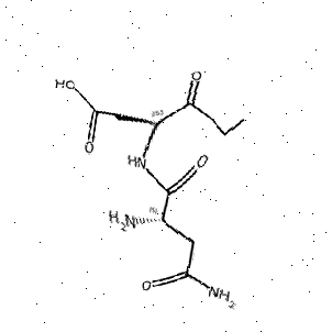 CCC(=O)[C@H](CC(=O)O)NC(=O)[C@@H](N)CC(N)=O